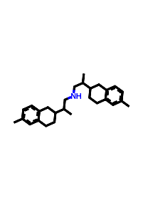 Cc1ccc2c(c1)CCC(C(C)CNCC(C)C1CCc3cc(C)ccc3C1)C2